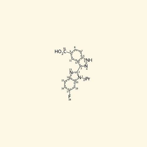 CC(C)n1c(-c2n[nH]c3ccc(C(=O)O)cc23)nc2ccc(F)cc21